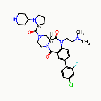 CN(C)CCN1C(=O)[C@H]2CN(C(=O)[C@@H]3CCCN3C3CCNCC3)CCN2C(=O)c2cc(-c3ccc(Cl)cc3F)ccc21